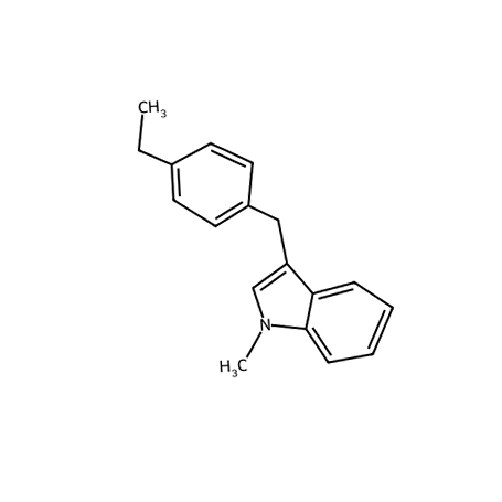 CCc1ccc(Cc2cn(C)c3ccccc23)cc1